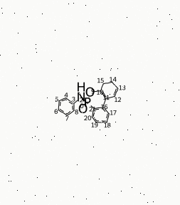 O=P1(Nc2ccccc2)OC2=C(C=CCC2)c2ccccc21